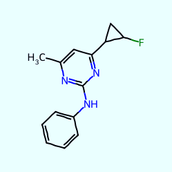 Cc1cc(C2CC2F)nc(Nc2ccccc2)n1